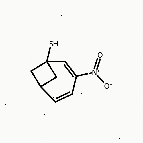 O=[N+]([O-])C1=CC2(S)CC(C=C1)C2